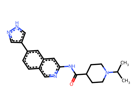 CC(C)N1CCC(C(=O)Nc2cc3cc(-c4cn[nH]c4)ccc3cn2)CC1